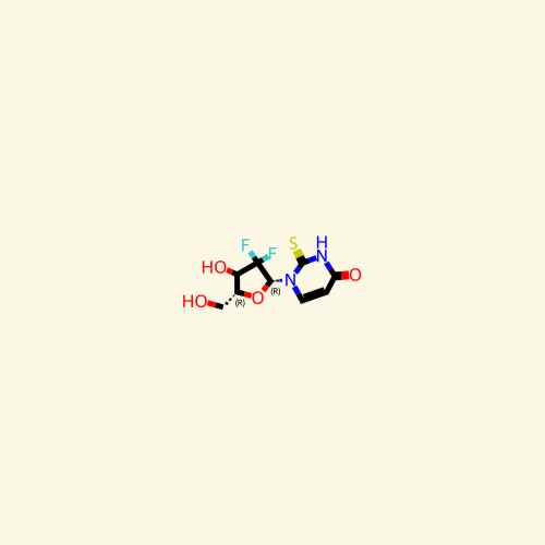 O=c1ccn([C@@H]2O[C@H](CO)C(O)C2(F)F)c(=S)[nH]1